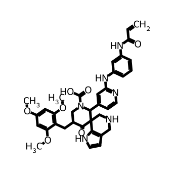 C=CC(=O)Nc1cccc(Nc2cc(C3N(C(=O)O)CC(Cc4c(OC)cc(OC)cc4OC)C(=O)C34CNCc3cc[nH]c34)ccn2)c1